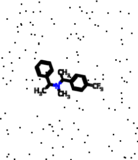 CC(c1ccccc1)N(C)[C@@H](C)c1ccc(C(F)(F)F)cc1